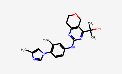 COc1cc(Nc2nc3c(c(C(C)(C)O)n2)COCC3)ccc1-n1cnc(C)c1